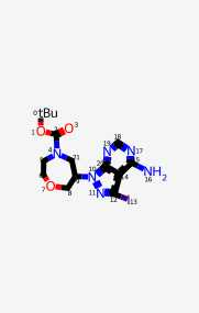 CC(C)(C)OC(=O)N1CCOCC(n2nc(I)c3c(N)ncnc32)C1